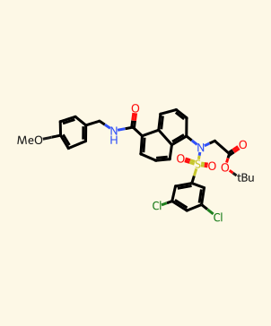 COc1ccc(CNC(=O)c2cccc3c(N(CC(=O)OC(C)(C)C)S(=O)(=O)c4cc(Cl)cc(Cl)c4)cccc23)cc1